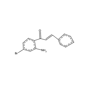 Nc1cc(Br)ccc1C(=O)C=Cc1ccccc1